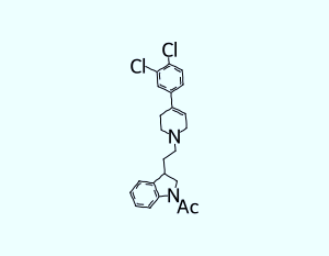 CC(=O)N1CC(CCN2CC=C(c3ccc(Cl)c(Cl)c3)CC2)c2ccccc21